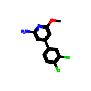 COc1cc(-c2ccc(Cl)c(Cl)c2)cc(N)n1